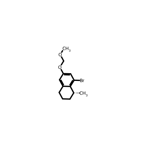 COCOc1cc(Br)c2c(c1)CCC[C@H]2C